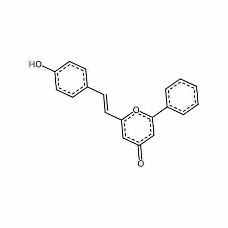 O=c1cc(/C=C/c2ccc(O)cc2)oc(-c2ccccc2)c1